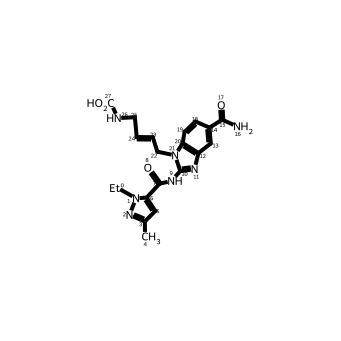 CCn1nc(C)cc1C(=O)Nc1nc2cc(C(N)=O)ccc2n1CC=CCNC(=O)O